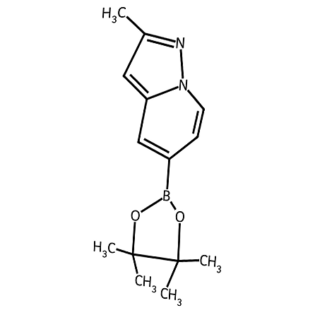 Cc1cc2cc(B3OC(C)(C)C(C)(C)O3)ccn2n1